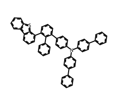 c1ccc(-c2ccc(N(c3ccc(-c4ccccc4)cc3)c3ccc(-c4cccc(-c5cccc6c5sc5ccccc56)c4-c4ccccc4)cc3)cc2)cc1